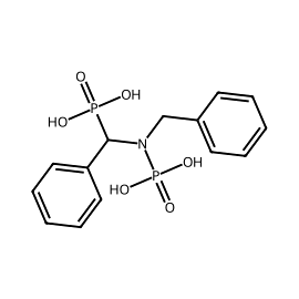 O=P(O)(O)C(c1ccccc1)N(Cc1ccccc1)P(=O)(O)O